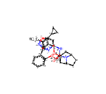 O=C(O)c1ccc(NC(=O)N2C3CCC2CC(OCc2c(-c4ccccc4OC(F)(F)F)noc2C2CC2)C3)nc1